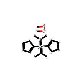 C[C](C)=[Zr+2]([C]1=CC=CC1)([C]1=CC=CC1)=[Si](C)C.C[O-].C[O-]